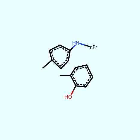 CCCNc1ccc(C)cc1.Cc1ccccc1O